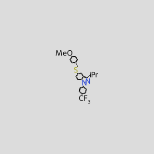 COc1ccc(CSc2ccc3c(c2)c(C(C)C)nn3-c2ccc(C(F)(F)F)cc2)cc1